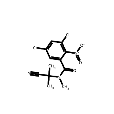 CN(C(=O)c1cc(Cl)cc(Cl)c1[N+](=O)[O-])C(C)(C)C#N